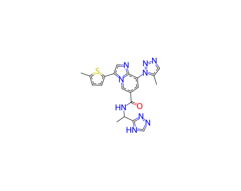 Cc1ccc(-c2cnc3c(-n4nncc4C)cc(C(=O)NC(C)c4nnc[nH]4)cn23)s1